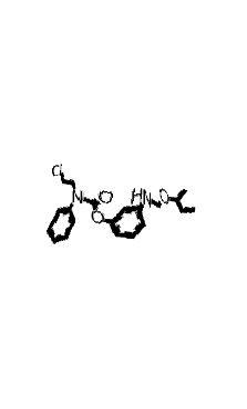 C=CC(C)OCNc1cccc(OC(=O)N(CCCl)c2ccccc2)c1